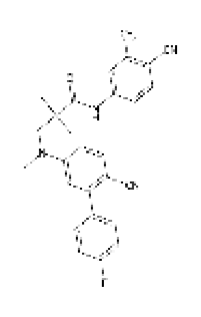 CN(CC(C)(C)C(=O)Nc1ccc(C#N)c(C(F)(F)F)c1)c1ccc(C#N)c(-c2ccc(F)cc2)c1